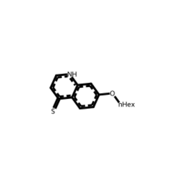 CCCCCCOc1ccc2c(=S)cc[nH]c2c1